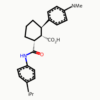 CNc1ccc([C@@H]2CCC[C@@H](C(=O)Nc3ccc(C(C)C)cc3)[C@H]2C(=O)O)cc1